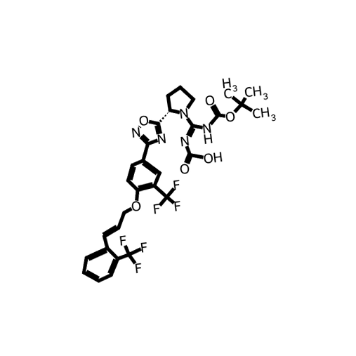 CC(C)(C)OC(=O)N/C(=N\C(=O)O)N1CCC[C@H]1c1nc(-c2ccc(OC/C=C/c3ccccc3C(F)(F)F)c(C(F)(F)F)c2)no1